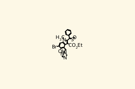 CCOC(=O)c1c(C(=S=O)c2ccccc2)n(C)c2cc(Br)c(O)c(Cn3cncn3)c12